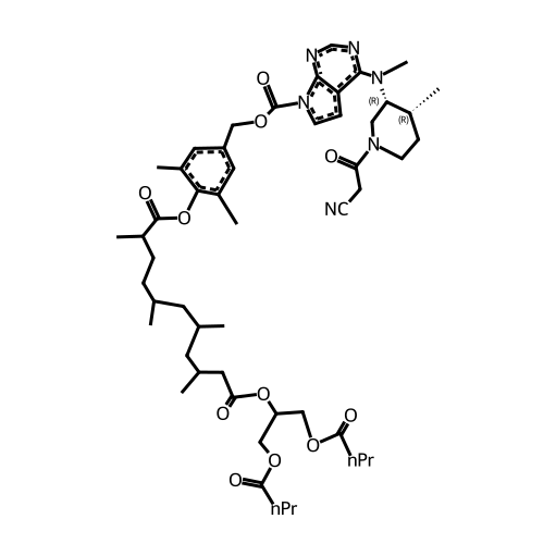 CCCC(=O)OCC(COC(=O)CCC)OC(=O)CC(C)CC(C)CC(C)CCC(C)C(=O)Oc1c(C)cc(COC(=O)n2ccc3c(N(C)[C@H]4CN(C(=O)CC#N)CC[C@H]4C)ncnc32)cc1C